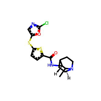 C[C@H]1[C@H](NC(=O)c2ccc(Sc3cnc(Cl)o3)s2)C2CCN1CC2